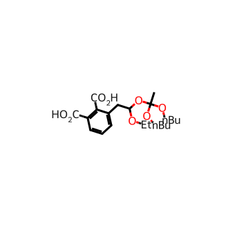 CCCCOC(C)(OCCCC)OC(Cc1cccc(C(=O)O)c1C(=O)O)OCC